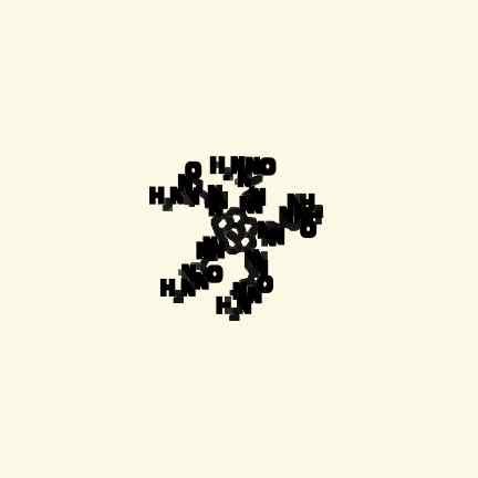 Cn1cc(-c2cn(-c3cc4c(-n5cc(-c6cc(=O)[nH]c(N)n6)nn5)cc5c(-n6cc(-c7cc(=O)nc(N)n7C)nn6)cc6c(-n7cc(-c8cc(=O)nc(N)n8C)nn7)cc7c(-n8cc(-c9cn(C)c(N)nc9=O)nn8)cc3c3c4c5c6c73)nn2)c(=O)nc1N